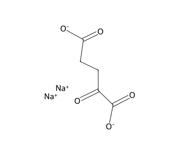 O=C([O-])CCC(=O)C(=O)[O-].[Na+].[Na+]